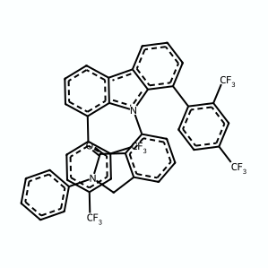 O=C1c2c(cccc2-n2c3c(-c4ccc(C(F)(F)F)cc4C(F)(F)F)cccc3c3cccc(-c4ccc(C(F)(F)F)cc4C(F)(F)F)c32)CN1c1ccccc1